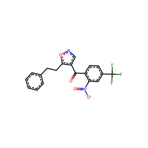 O=C(c1ccc(C(F)(F)F)cc1[N+](=O)[O-])c1cnoc1CCc1ccccc1